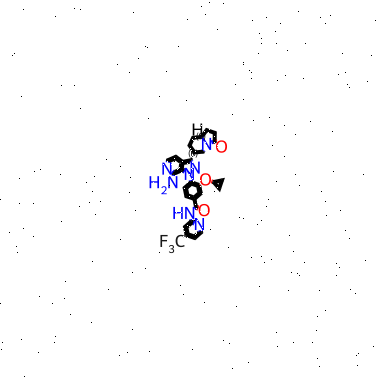 Nc1nccc2c([C@@H]3CC[C@H]4CCC(=O)N4C3)nn(-c3ccc(C(=O)Nc4cc(C(F)(F)F)ccn4)cc3OC3CC3)c12